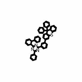 C1=CC(c2ccccc2)C(c2nc(-c3ccccc3)nc(-c3cccc(-c4ccc5c(c4)Sc4ccccc4C5(c4ccccc4)c4ccccc4)c3)n2)C=C1